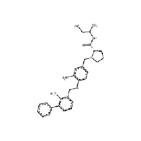 Cc1c(COc2ccc(CN3CCC[C@H]3C(=O)NC(C)CO)cc2[N+](=O)[O-])cccc1-c1ccccc1